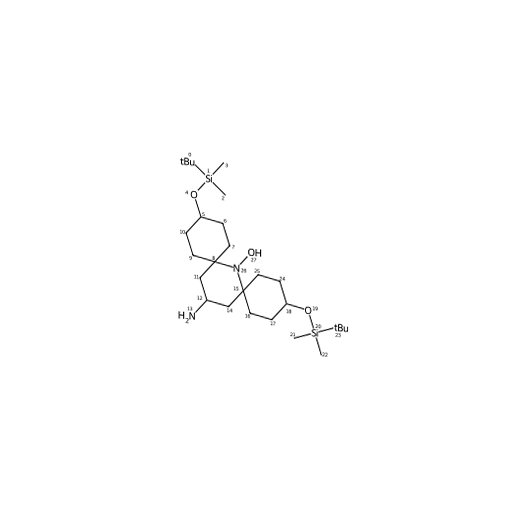 CC(C)(C)[Si](C)(C)OC1CCC2(CC1)CC(N)CC1(CCC(O[Si](C)(C)C(C)(C)C)CC1)N2O